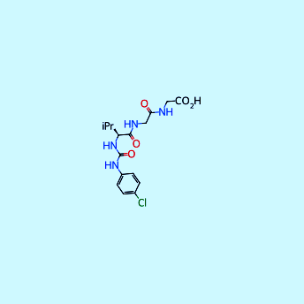 CC(C)[C@H](NC(=O)Nc1ccc(Cl)cc1)C(=O)NCC(=O)NCC(=O)O